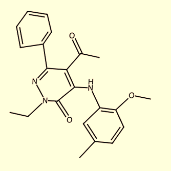 CCn1nc(-c2ccccc2)c(C(C)=O)c(Nc2cc(C)ccc2OC)c1=O